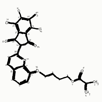 C=C(C)C(=O)OCCCCOc1cccc2ccc(C3C(=O)c4c(Cl)c(Cl)c(Cl)c(Cl)c4C3=O)nc12